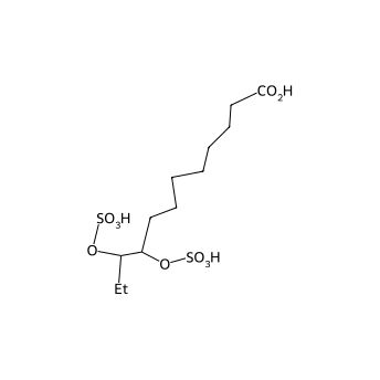 CCC(OS(=O)(=O)O)C(CCCCCCCC(=O)O)OS(=O)(=O)O